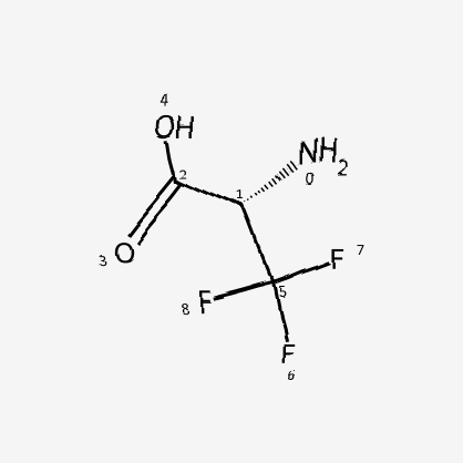 N[C@@H](C(=O)O)C(F)(F)F